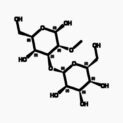 CO[C@@H]1[C@@H](O[C@@H]2O[C@H](CO)[C@H](O)[C@H](O)[C@H]2O)[C@@H](O)[C@@H](CO)O[C@H]1O